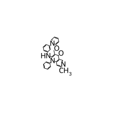 Cc1cc2c(cn1)c(=O)c(COc1ccccn1)c(Nc1ccccc1)n2-c1ccccc1